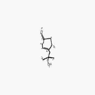 CC(C)(O)C1=CCC(=O)CC1